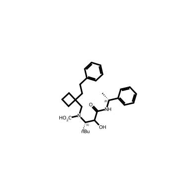 CCCC[C@@H](C(O)C(=O)N[C@H](C)c1ccccc1)N(CC1(CCc2ccccc2)CCC1)C(=O)O